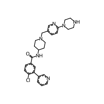 O=C(NC1CCN(Cc2ccc(N3CCNCC3)nc2)CC1)c1ccc(Cl)c(-c2cccnc2)c1